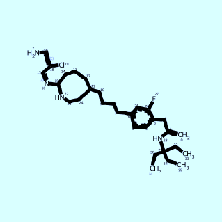 C=C(Cc1ccc(CCCCC2CCCC(/N=C\C(Cl)=C/N)NCC2)cc1F)NC(CC)(CC)CC